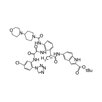 C[C@H](C(=O)Nc1ccc2[nH]c(C(=O)OC(C)(C)C)cc2c1)c1cccc(NC(=O)N2CCC(N3CCOCC3)CC2)c1NC(=O)C(=O)Nc1cc(Cl)ccc1-n1cnnn1